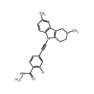 CNC(=O)c1ccc(C#Cn2c3c(c4cc(C)ccc42)CN(C)CC3)cc1F